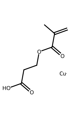 C=C(C)C(=O)OCCC(=O)O.[Cu]